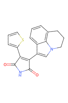 O=C1NC(=O)C(c2cn3c4c(cccc24)CCC3)=C1c1cccs1